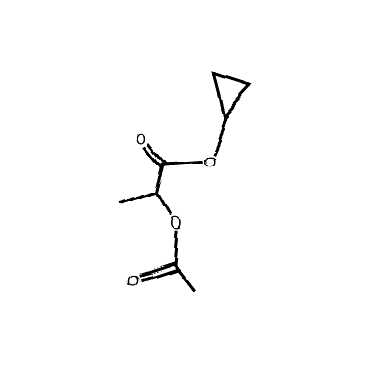 CC(=O)OC(C)C(=O)OC1CC1